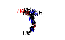 C#Cc1ccc(OC2CCN(c3ccc(-c4cc(OCC(C)(C)O)cn5ncc(/C=N\C)c45)cn3)CC2)cn1